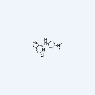 CN(C)[C@H]1CC[C@H](Nc2nc(Cl)nc3ccsc23)CC1